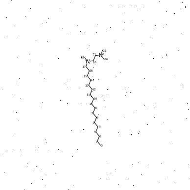 CCCCCCCCCCCCCCCCCCN(C)CCN(C)C